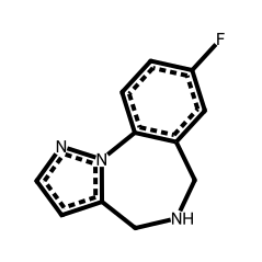 Fc1ccc2c(c1)CNCc1ccnn1-2